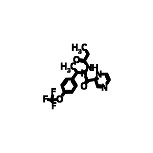 CCC(=O)NN(C(=O)c1cnccn1)C(C)c1ccc(OC(F)(F)F)cc1